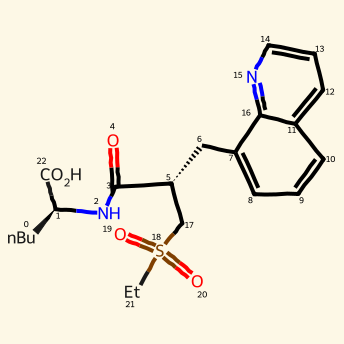 CCCC[C@H](NC(=O)[C@H](Cc1cccc2cccnc12)CS(=O)(=O)CC)C(=O)O